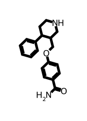 NC(=O)c1ccc(OCC2CNCCC2c2ccccc2)cc1